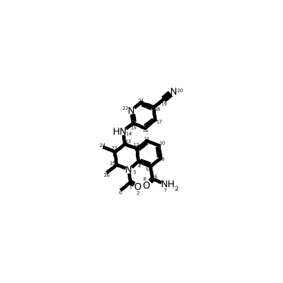 CC(=O)N1c2c(C(N)=O)cccc2C(Nc2ccc(C#N)cn2)C(C)C1C